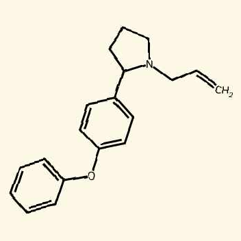 C=CCN1CCCC1c1ccc(Oc2ccccc2)cc1